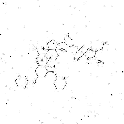 CCOC(C)OC(C)(C)C(F)(F)CC[C@@H](C)[C@H]1CC[C@H]2[C@@H]3C(Br)C=C4CC(OC5CCCCO5)C[C@H](OC5CCCCO5)[C@]4(C)[C@H]3CC[C@]12C